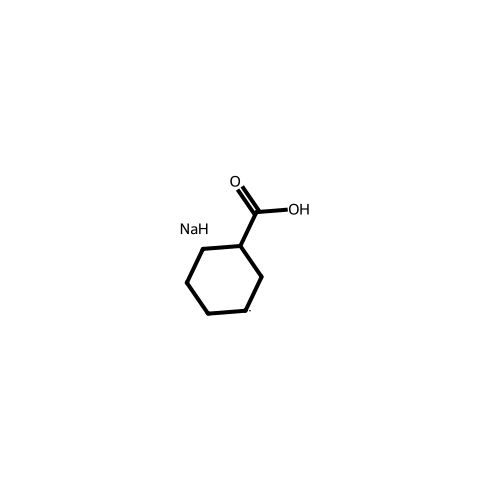 O=C(O)C1C[CH]CCC1.[NaH]